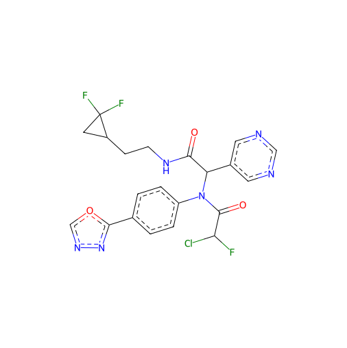 O=C(NCCC1CC1(F)F)C(c1cncnc1)N(C(=O)C(F)Cl)c1ccc(-c2nnco2)cc1